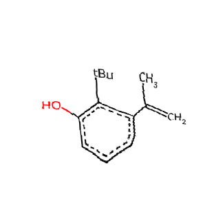 C=C(C)c1cccc(O)c1C(C)(C)C